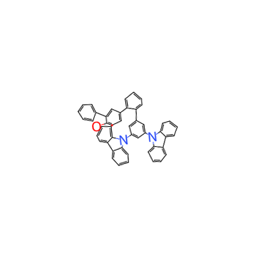 c1ccc(-c2ccc3oc4ccccc4c3c2)c(-c2cc(-n3c4ccccc4c4ccccc43)cc(-n3c4ccccc4c4ccccc43)c2)c1